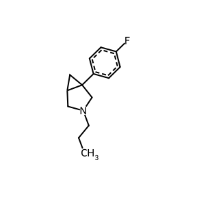 CCCN1CC2CC2(c2ccc(F)cc2)C1